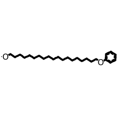 [O]CCCCCCCCCCCCCCCCCCCOc1ccccc1